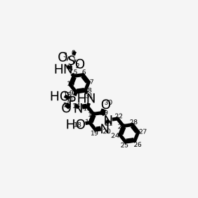 CS(=O)(=O)Nc1ccc2c(c1)P(=O)(O)N=C(c1c(O)cnn(Cc3ccccc3)c1=O)N2